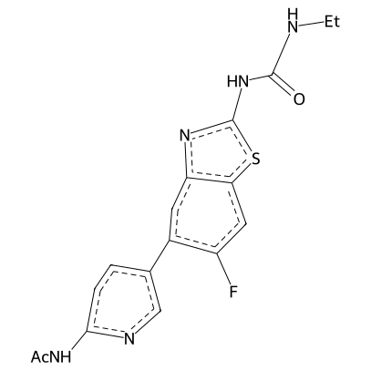 CCNC(=O)Nc1nc2cc(-c3ccc(NC(C)=O)nc3)c(F)cc2s1